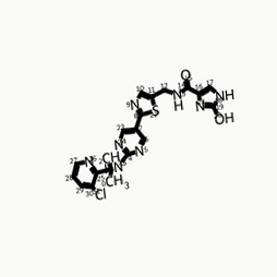 CC(C)(Nc1ncc(-c2ncc(CNC(=O)c3c[nH]c(O)n3)s2)cn1)c1ncccc1Cl